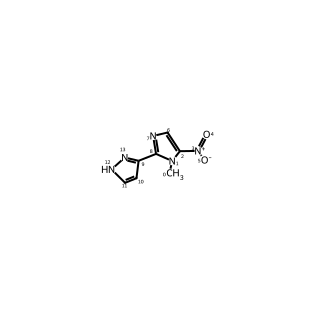 Cn1c([N+](=O)[O-])cnc1-c1cc[nH]n1